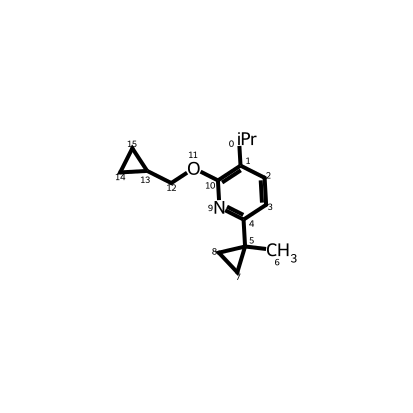 CC(C)c1ccc(C2(C)CC2)nc1OCC1CC1